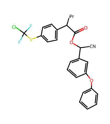 CC(C)C(C(=O)OC(C#N)c1cccc(Oc2ccccc2)c1)c1ccc(SC(F)(F)Cl)cc1